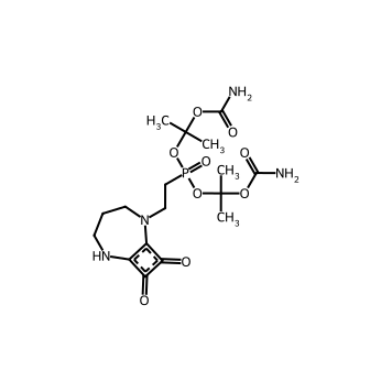 CC(C)(OC(N)=O)OP(=O)(CCN1CCCNc2c1c(=O)c2=O)OC(C)(C)OC(N)=O